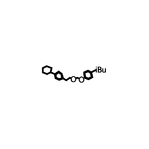 CCC(C)c1ccc(OCOCCc2ccc(C3CCCCC3)cc2)cc1